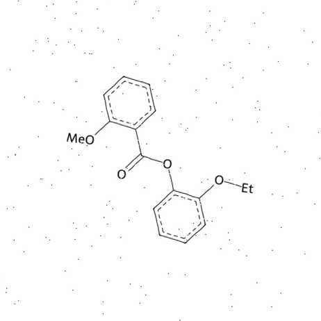 CCOc1ccccc1OC(=O)c1ccccc1OC